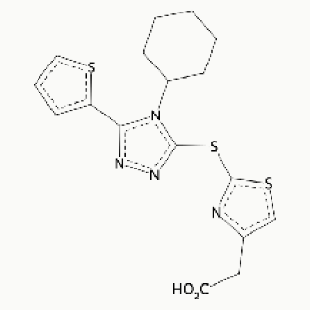 O=C(O)Cc1csc(Sc2nnc(-c3cccs3)n2C2CCCCC2)n1